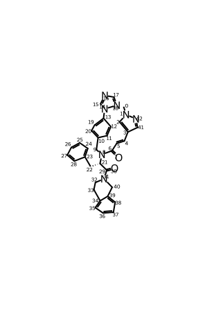 Cn1cc(C=CC(=O)N(Cc2ccc(-n3cncn3)cc2)[C@@H](Cc2ccccc2)C(=O)N2CCc3ccccc3C2)cn1